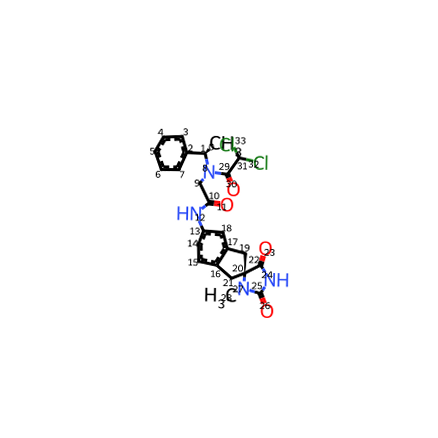 C[C@H](c1ccccc1)N(CC(=O)Nc1ccc2c(c1)C[C@@]1(C2)C(=O)NC(=O)N1C)C(=O)C(Cl)Cl